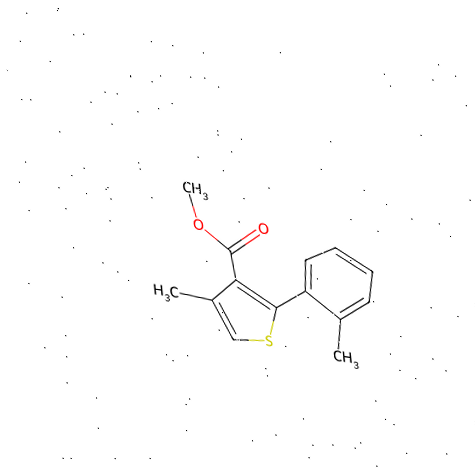 COC(=O)c1c(C)csc1-c1ccccc1C